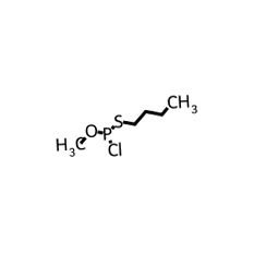 CCCCSP(Cl)OC